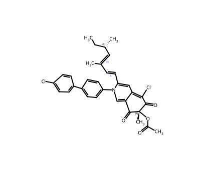 CC[C@H](C)/C=C(C)/C=C/C1=CC2=C(Cl)C(=O)[C@](C)(OC(C)=O)C(=O)C2=CN1c1ccc(-c2ccc(Cl)cc2)cc1